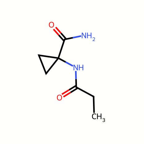 CCC(=O)NC1(C(N)=O)CC1